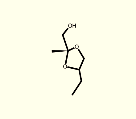 CCC1CO[C@@](C)(CO)O1